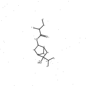 CCC(I)C(=O)OC1CC2CC1CC2(O)C(C)C